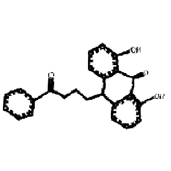 O=C(CCCC1c2cccc(O)c2C(=O)c2c(O)cccc21)c1ccccc1